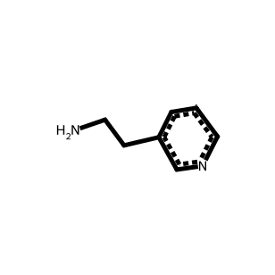 NCCc1c[c]cnc1